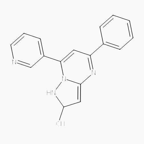 CC1C=C2N=C(c3ccccc3)C=C(c3cccnc3)N2N1